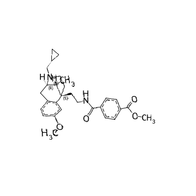 COC(=O)c1ccc(C(=O)NCC[C@@]23CCN(CC4CC4)[C@H](Cc4ccc(OC)cc42)[C@@H]3C)cc1